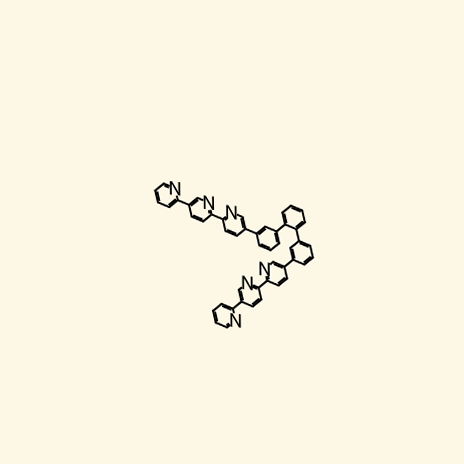 c1ccc(-c2ccc(-c3ccc(-c4cccc(-c5ccccc5-c5cccc(-c6ccc(-c7ccc(-c8ccccn8)cn7)nc6)c5)c4)cn3)nc2)nc1